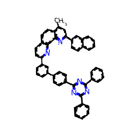 Cc1cc(-c2ccc3ccccc3c2)nc2c1ccc1ccc(-c3cccc(-c4ccc(-c5nc(-c6ccccc6)nc(-c6ccccc6)n5)cc4)c3)nc12